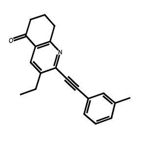 CCc1cc2c(nc1C#Cc1cccc(C)c1)CCCC2=O